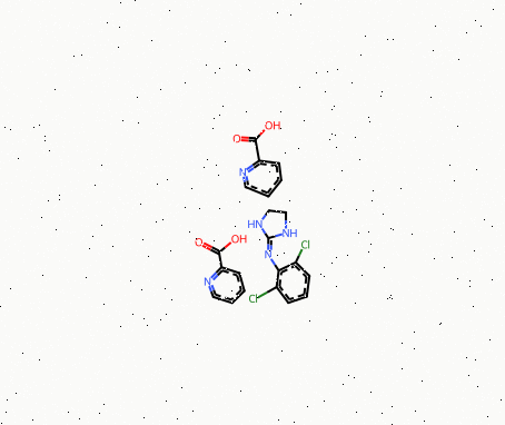 Clc1cccc(Cl)c1N=C1NCCN1.O=C(O)c1ccccn1.O=C(O)c1ccccn1